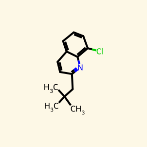 CC(C)(C)Cc1ccc2cccc(Cl)c2n1